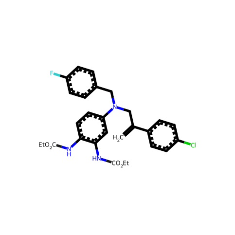 C=C(CN(Cc1ccc(F)cc1)c1ccc(NC(=O)OCC)c(NC(=O)OCC)c1)c1ccc(Cl)cc1